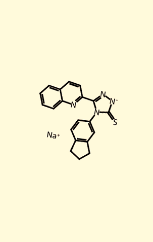 S=c1[n-]nc(-c2ccc3ccccc3n2)n1-c1ccc2c(c1)CCC2.[Na+]